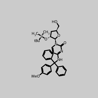 COc1ccc(C(Nc2ccn([C@@H]3O[C@H](CO)C[C@H]3O[Si](C)(C)C(C)(C)C)c(=O)n2)(c2ccccc2)c2ccccc2)cc1